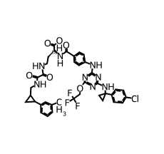 Cc1cccc(C2CC2CNC(=O)C(=O)NCC[C@H](NC(=O)c2ccc(Nc3nc(NC4(c5ccc(Cl)cc5)CC4)nc(OCC(F)(F)F)n3)cc2)C(=O)O)c1